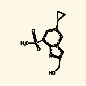 CS(=O)(=O)c1cc(C2CC2)cn2cc(CO)nc12